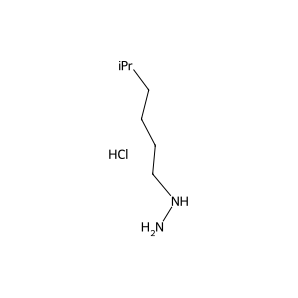 CC(C)CCCCNN.Cl